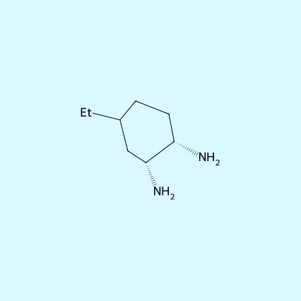 CCC1CC[C@H](N)[C@H](N)C1